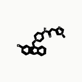 Cn1cnc(CC(=O)NC2CCN(CC34CC(c5ccccc53)c3ccc(Cl)cc34)CC2)c1